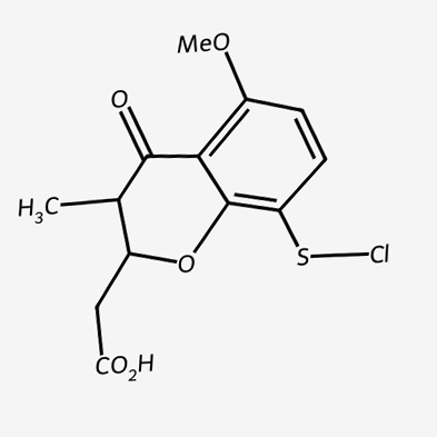 COc1ccc(SCl)c2c1C(=O)C(C)C(CC(=O)O)O2